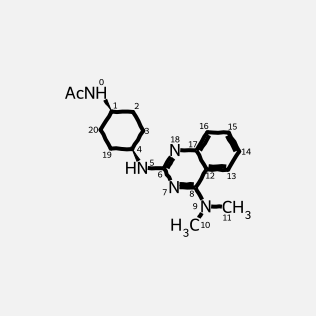 CC(=O)N[C@H]1CC[C@@H](Nc2nc(N(C)C)c3ccccc3n2)CC1